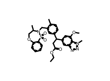 CCOC(=O)CC(c1ccc(C)c(CN2C(C)COc3ccccc3S2(=O)=O)c1)c1cc(OC)c2c(c1)nnn2C